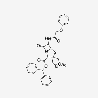 CC(=O)OCC1(CBr)SC2C(NC(=O)COc3ccccc3)C(=O)N2C1C(=O)OC(c1ccccc1)c1ccccc1